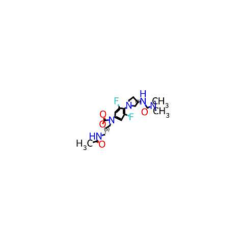 CC(=O)NC[C@H]1CN(c2cc(F)c(N3CC[C@@H](NC(=O)N(C)C)C3)c(F)c2)C(=O)O1